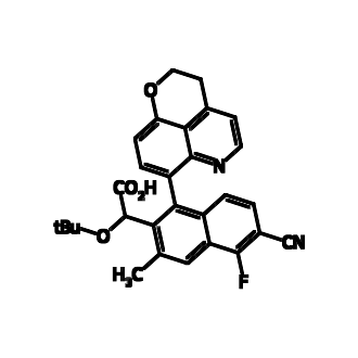 Cc1cc2c(F)c(C#N)ccc2c(-c2ccc3c4c(ccnc24)CCO3)c1C(OC(C)(C)C)C(=O)O